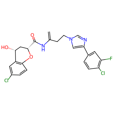 C=C(CCn1cnc(-c2ccc(Cl)c(F)c2)c1)NC(=O)[C@H]1C[C@@H](O)c2cc(Cl)ccc2O1